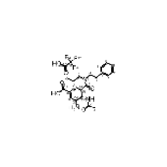 CCCN(CCc1ccccc1)C(=O)[C@@H]1OC(C(=O)O)=C[C@H](N)[C@H]1NC(C)=O.O=C(O)C(F)(F)F